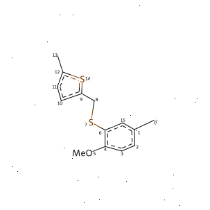 [CH2]c1ccc(OC)c(SCc2ccc(C)s2)c1